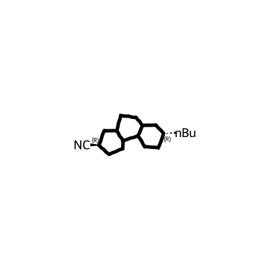 CCCC[C@@H]1CCC2C(CCC3C[C@H](C#N)CCC32)C1